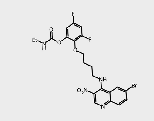 CCNC(=O)Oc1cc(F)cc(F)c1OCCCCNc1c([N+](=O)[O-])cnc2ccc(Br)cc12